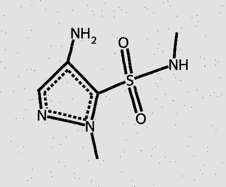 CNS(=O)(=O)c1c(N)cnn1C